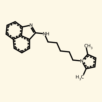 Cc1ccc(C)n1CCCCCNC1=Nc2cccc3cccc1c23